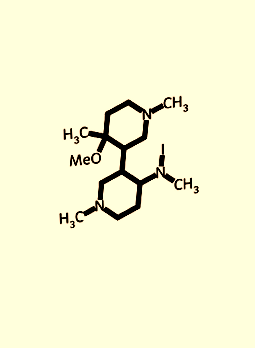 COC1(C)CCN(C)CC1C1CN(C)CCC1N(C)I